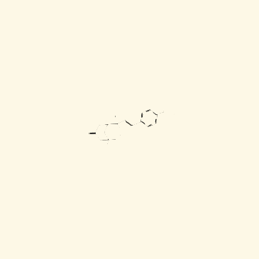 C[C@@H]1C(=O)C[C@H]2C[C@@H]1OO[C@@]2(C)C=Cc1ccc(C(F)(F)F)cc1